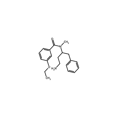 CCOc1cccc(C(=O)N(C)C(CCN)Cc2ccccc2)c1